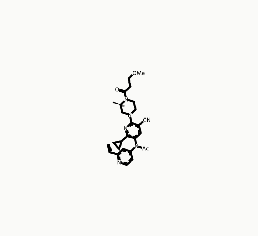 C=Cc1cc(N(C(C)=O)c2cc(C#N)c(N3CCN(C(=O)CCOC)[C@H](C)C3)nc2C2CC2)ccn1